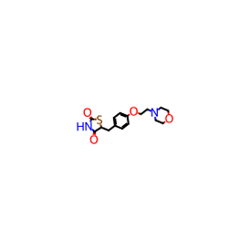 O=C1NC(=O)C(Cc2ccc(OCCN3CCOCC3)cc2)S1